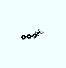 O=C(O)c1nc2cc(-c3ccc(-c4ccccc4)cc3)ncc2s1